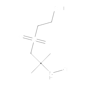 CC(C)(CS(=O)(=O)CCS(=O)(=O)O)NCl